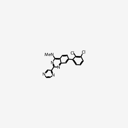 CNc1nc(-c2cnccn2)nc2cc(-c3cccc(Cl)c3Cl)ccc12